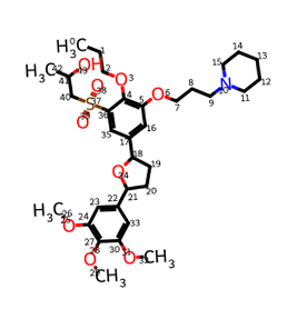 CCCOc1c(OCCCN2CCCCC2)cc(C2CCC(c3cc(OC)c(OC)c(OC)c3)O2)cc1S(=O)(=O)CC(C)O